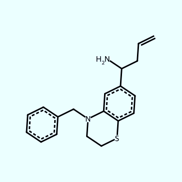 C=CCC(N)c1ccc2c(c1)N(Cc1ccccc1)CCS2